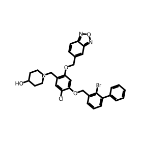 OC1CCN(Cc2cc(Cl)c(OCc3cccc(-c4ccccc4)c3Br)cc2OCc2ccc3nonc3c2)CC1